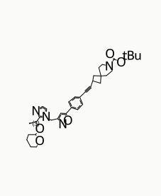 C[C@H](OC1CCCCO1)c1nccn1Cc1cc(-c2ccc(C#CC3CC4(CCN(C(=O)OC(C)(C)C)CC4)C3)cc2)on1